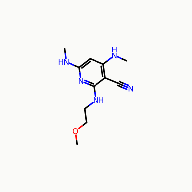 CNc1cc(NC)c(C#N)c(NCCOC)n1